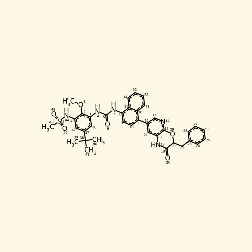 COc1c(NC(=O)Nc2ccc(-c3cnc4c(c3)NC(=O)C(Cc3ccccc3)O4)c3ccccc23)cc(C(C)(C)C)cc1NS(C)(=O)=O